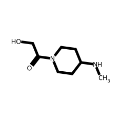 CNC1CCN(C(=O)CO)CC1